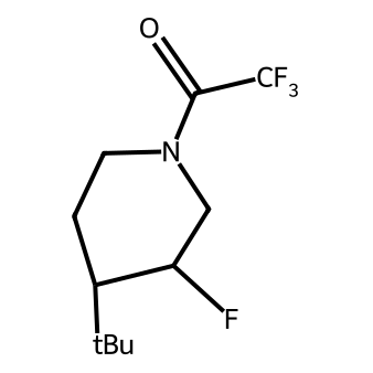 CC(C)(C)C1CCN(C(=O)C(F)(F)F)CC1F